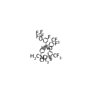 C=C(c1ccc(C[C@](NC(=O)c2ccc(F)c(C(F)(F)F)c2)(c2cc(F)cc(OC(F)(F)C(F)F)c2)c2ccc(F)c(C(F)(F)F)c2)cc1)N(C)C